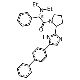 CCN(CC)[C@H](C(=O)N1CCCC1c1ncc(-c2ccc(-c3ccccc3)cc2)[nH]1)c1ccccc1